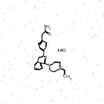 CCN1CCN(c2nc(-c3ccc(CC(N)=O)cc3)cc3ccccc23)CC1.Cl